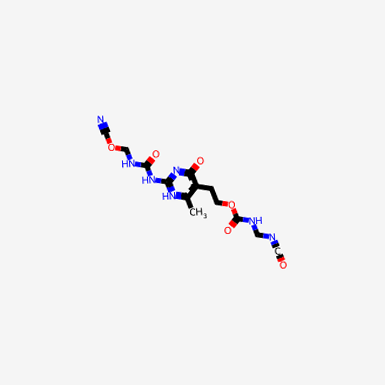 Cc1[nH]c(NC(=O)NCOC#N)nc(=O)c1CCOC(=O)NCN=C=O